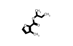 CCC(C)OC(=O)c1occc1C